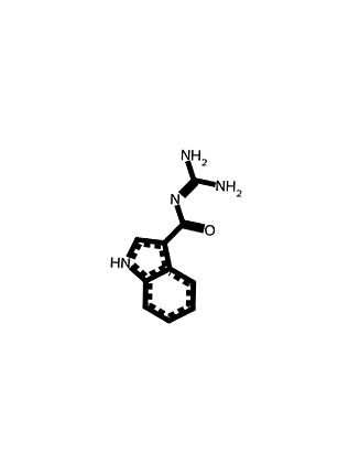 NC(N)=NC(=O)c1c[nH]c2ccccc12